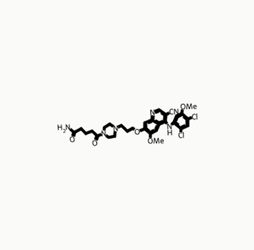 COc1cc(Nc2c(C#N)cnc3cc(OCCCN4CCN(C(=O)CCCC(N)=O)CC4)c(OC)cc23)c(Cl)cc1Cl